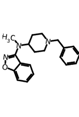 CN(c1noc2ccccc12)C1CCN(Cc2ccccc2)CC1